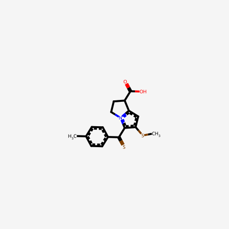 CSc1cc2n(c1C(=S)c1ccc(C)cc1)CCC2C(=O)O